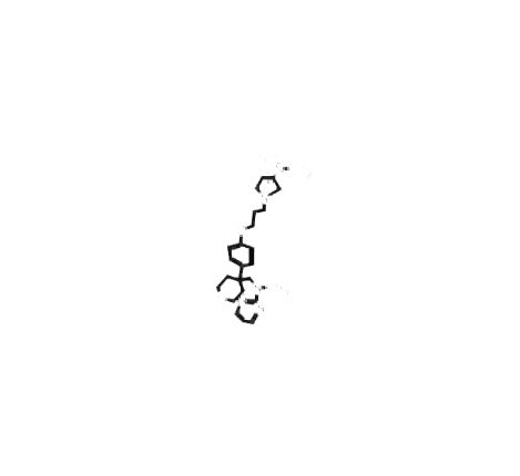 CN(CC1(c2ccc(OCCCN3CC[C@@H](N(C)C)C3)cc2)CCOCC1)c1ncccn1